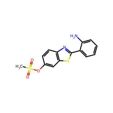 CS(=O)(=O)Oc1ccc2nc(-c3ccccc3N)sc2c1